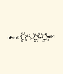 CCCCCc1ccc(CCc2ccc(-c3ccc(CCC)cc3)c(F)c2)cc1